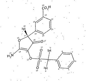 [2H]C([2H])(c1ccccc1)S(=O)(=O)OC1=C(N)O[C@]([2H])(c2cccc(C(=O)O)c2)C1=O